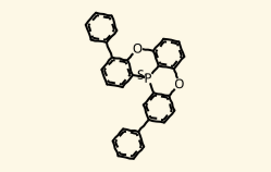 S=P12c3cc(-c4ccccc4)ccc3Oc3cccc(c31)Oc1c(-c3ccccc3)cccc12